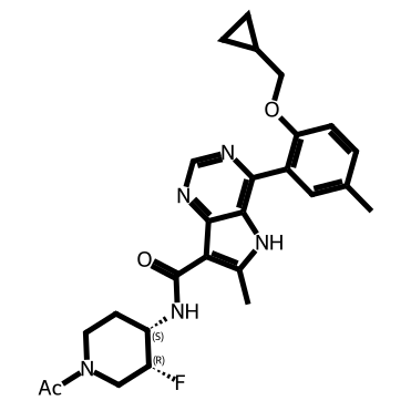 CC(=O)N1CC[C@H](NC(=O)c2c(C)[nH]c3c(-c4cc(C)ccc4OCC4CC4)ncnc23)[C@H](F)C1